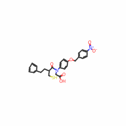 O=C(O)CN(C(=O)C(CS)CCc1ccccc1)c1ccc(OCc2ccc([N+](=O)[O-])cc2)cc1